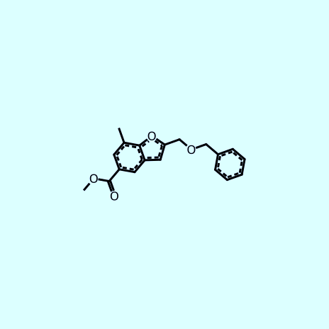 COC(=O)c1cc(C)c2oc(COCc3ccccc3)cc2c1